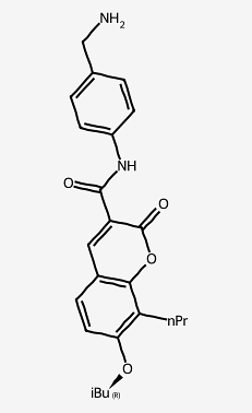 CCCc1c(O[C@H](C)CC)ccc2cc(C(=O)Nc3ccc(CN)cc3)c(=O)oc12